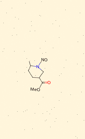 COC(=O)C1CCC(C)N(N=O)C1